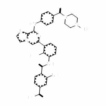 C=C(C)c1ccc(C(=O)Nc2cccc(-c3cn4ccnc4c(Nc4ccc(C(=O)N5CCN(C)CC5)cc4)n3)c2C)c(N)c1